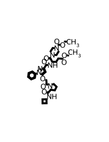 CCOC(=O)CCC(NC(=O)c1cc(OCC(=O)N2CCCC2C(=O)NC2CCC2)n(-c2ccccc2)n1)C(=O)N1CCN(C(=O)OCC)CC1